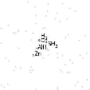 O.S.[AlH3].[Zn]